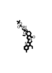 CCc1c2c(nc3ccc(C)cc13)-c1cc3c(c(=O)n1C2)CCC(=O)[C@@]3(CC)OC(=O)CNC(=O)OC(C)(C)C